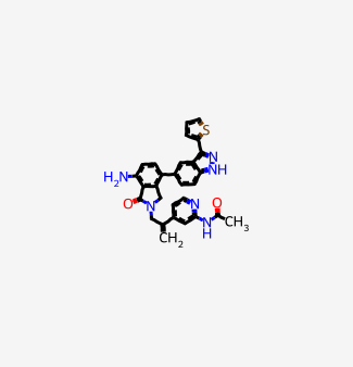 C=C(CN1Cc2c(-c3ccc4[nH]nc(-c5cccs5)c4c3)ccc(N)c2C1=O)c1ccnc(NC(C)=O)c1